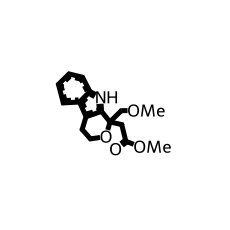 COCC1(CC(=O)OC)OCCc2c1[nH]c1ccccc21